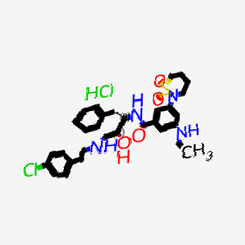 CCNc1cc(C(=O)N[C@@H](Cc2ccccc2)[C@H](O)CNCCc2ccc(Cl)cc2)cc(N2CCCCS2(=O)=O)c1.Cl